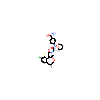 C[C@H]1COc2cn([C@@H](C[C@@H]3CCCCO3)C(=O)Nc3ccc(C(N)=O)cc3)c(=O)cc2-c2c(ccc(Cl)c2F)C1